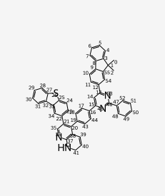 CC1(C)c2ccccc2-c2ccc(-c3cc(-c4ccc(-c5c(-c6ccc7sc8ccccc8c7c6)cnc6c5C=CCN6)cc4)nc(-c4ccccc4)n3)cc21